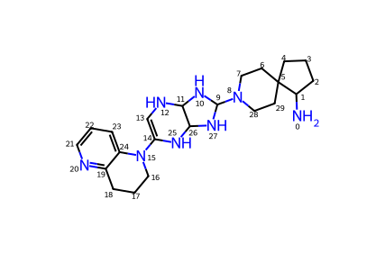 NC1CCCC12CCN(C1NC3NC=C(N4CCCc5ncccc54)NC3N1)CC2